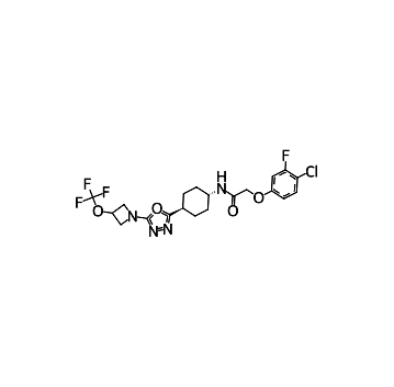 O=C(COc1ccc(Cl)c(F)c1)N[C@H]1CC[C@H](c2nnc(N3CC(OC(F)(F)F)C3)o2)CC1